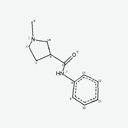 CN1CCC(C(=O)Nc2ccccc2)C1